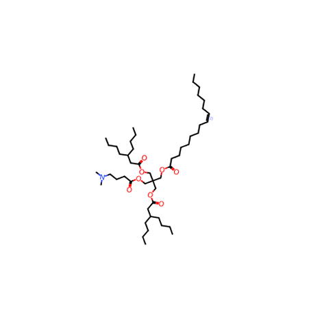 CCCCCC/C=C\CCCCCCCC(=O)OCC(COC(=O)CCCN(C)C)(COC(=O)CC(CCCC)CCCC)COC(=O)CC(CCCC)CCCC